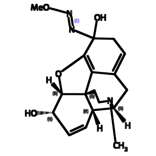 CO/N=N/C1(O)CC=C2C[C@@H]3[C@@H]4C=C[C@H](O)[C@@H]5OC1=C2[C@]45CCN3C